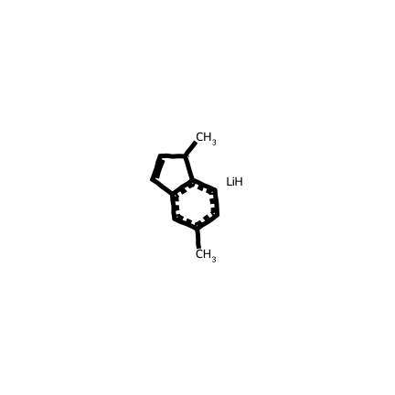 C[C]1C=Cc2cc(C)ccc21.[LiH]